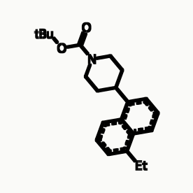 CCc1cccc2c(C3CCN(C(=O)OC(C)(C)C)CC3)cccc12